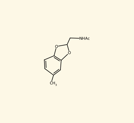 CC(=O)NCC1Oc2ccc(C)cc2O1